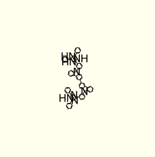 c1ccc(C2=NC(c3cccc(-n4c5ccccc5c5cc(-c6ccc7c(c6)c6ccccc6n7-c6cccc(C7NC(c8ccccc8)NC(c8ccccc8)N7)c6)ccc54)c3)=NC(c3ccccc3)N2)cc1